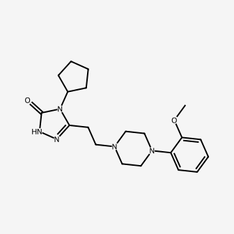 COc1ccccc1N1CCN(CCc2n[nH]c(=O)n2C2CCCC2)CC1